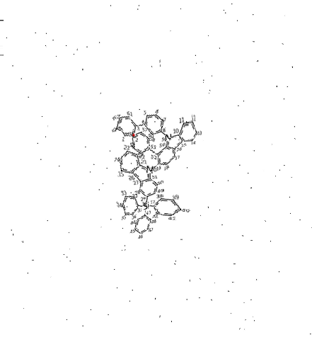 c1ccc(-c2cccc(-n3c4ccccc4c4ccc(-n5c6ccccc6c6cc([Si](c7ccccc7)(c7ccccc7)c7ccccc7)ccc65)c(-c5ccccc5)c43)c2)cc1